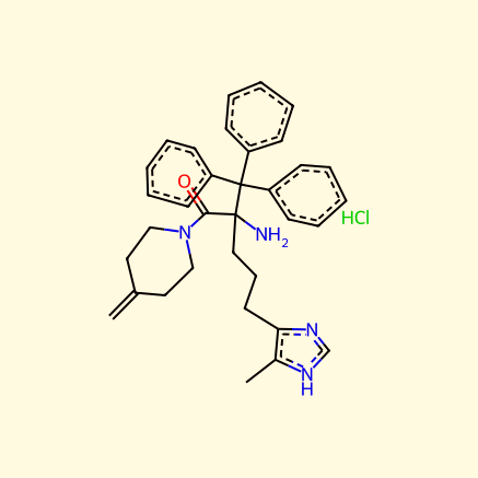 C=C1CCN(C(=O)C(N)(CCCc2nc[nH]c2C)C(c2ccccc2)(c2ccccc2)c2ccccc2)CC1.Cl